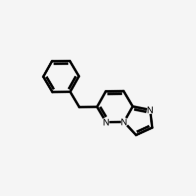 c1ccc(Cc2ccc3nccn3n2)cc1